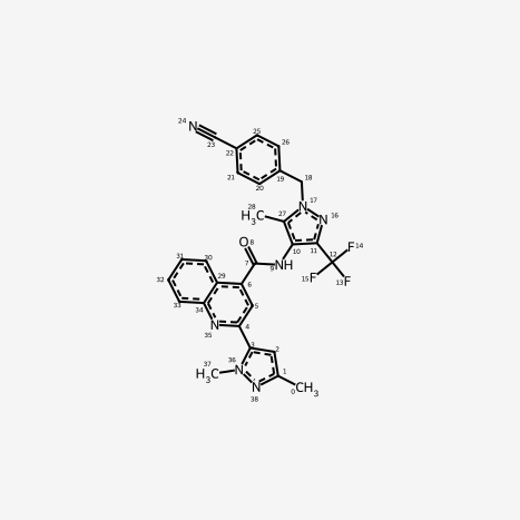 Cc1cc(-c2cc(C(=O)Nc3c(C(F)(F)F)nn(Cc4ccc(C#N)cc4)c3C)c3ccccc3n2)n(C)n1